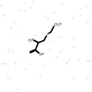 C=C(O)C(N)CSCC(=O)O